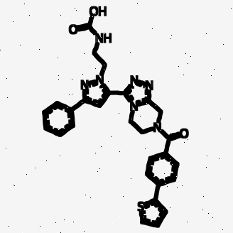 O=C(O)NCCn1nc(-c2ccccc2)cc1-c1nnc2n1CCN(C(=O)c1ccc(-c3cccs3)cc1)C2